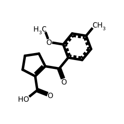 COc1cc(C)ccc1C(=O)C1=C(C(=O)O)CCC1